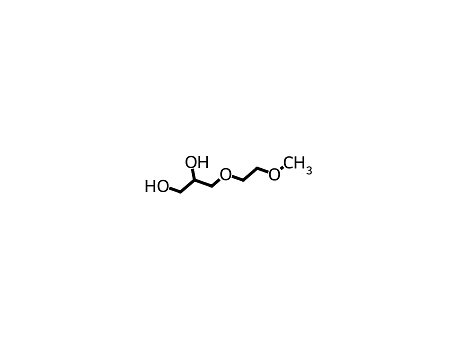 COCCOCC(O)CO